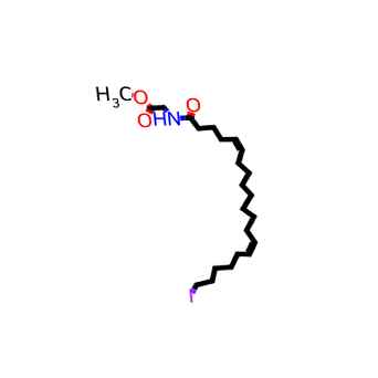 COC(=O)CNC(=O)CCC/C=C\CCCCCCC/C=C\CCCCCI